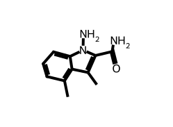 Cc1cccc2c1c(C)c(C(N)=O)n2N